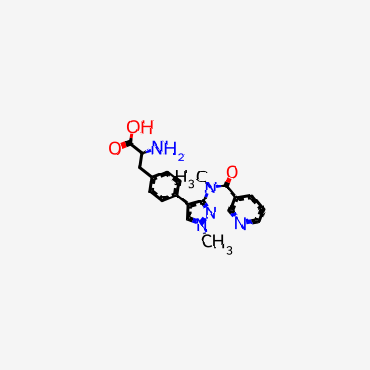 CN(C(=O)c1cccnc1)c1nn(C)cc1-c1ccc(C[C@H](N)C(=O)O)cc1